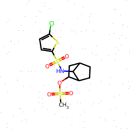 CS(=O)(=O)OC1CC2CCC1C2NS(=O)(=O)c1ccc(Cl)s1